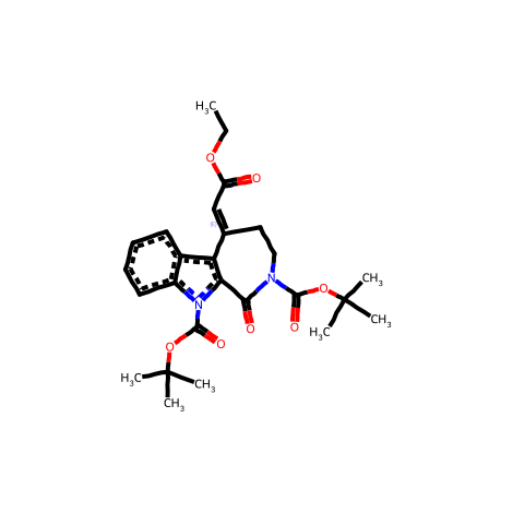 CCOC(=O)/C=C1\CCN(C(=O)OC(C)(C)C)C(=O)c2c1c1ccccc1n2C(=O)OC(C)(C)C